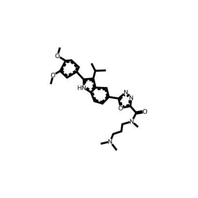 COc1ccc(-c2[nH]c3ccc(-c4nnc(C(=O)N(C)CCCN(C)C)o4)cc3c2C(C)C)cc1OC